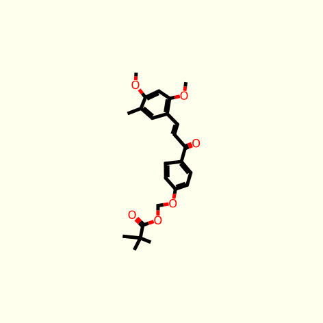 COc1cc(OC)c(C=CC(=O)c2ccc(OCOC(=O)C(C)(C)C)cc2)cc1C